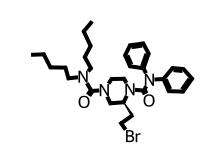 CCCCCN(CCCCC)C(=O)N1CCN(C(=O)N(c2ccccc2)c2ccccc2)[C@@H](CCBr)C1